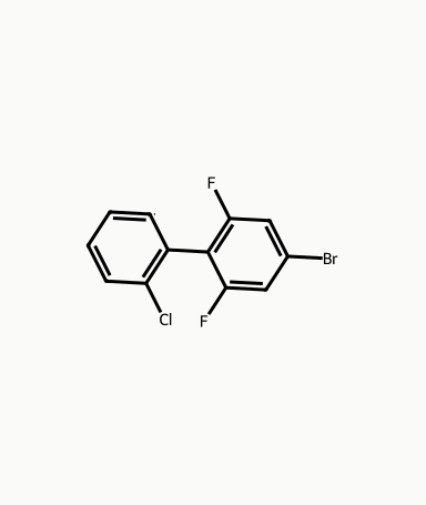 Fc1cc(Br)cc(F)c1-c1[c]cccc1Cl